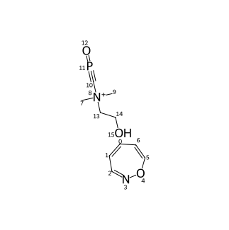 C1=CC=NOC=C1.C[N+](C)(C#P=O)CCO